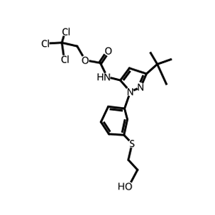 CC(C)(C)c1cc(NC(=O)OCC(Cl)(Cl)Cl)n(-c2cccc(SCCO)c2)n1